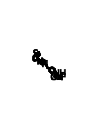 CN(CF)C(=O)NC1CCC(CCN2CCN(c3cccc4sccc34)CC2)CC1